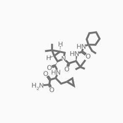 CCC1(NC(=O)N[C@H](C(=O)N2C[C@H]3[C@@H]([C@H]2C(=O)NC(CC2CC2)C(=O)C(N)=O)C3(C)C)C(C)(C)C)CCCCC1